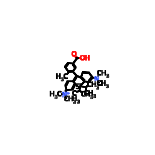 Cc1ccc(C(=O)O)cc1C1=C2C=CC(=[N+](C)C)C=C2[Si](C(C)C)(C(C)C)c2cc(N(C)C)ccc21